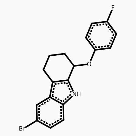 Fc1ccc(OC2CCCc3c2[nH]c2ccc(Br)cc32)cc1